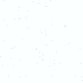 COc1ccc([C@@H]2CCN[C@@H]2C(=O)Nc2ccc3oc(C(=O)O)cc3c2)cc1